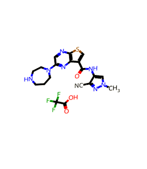 Cn1cc(NC(=O)c2csc3ncc(N4CCCNCC4)nc23)c(C#N)n1.O=C(O)C(F)(F)F